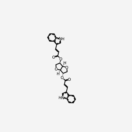 O=C(/C=C/c1c[nH]c2ccccc12)O[C@H]1CO[C@H]2[C@@H]1OC[C@H]2OC(=O)/C=C/c1c[nH]c2ccccc12